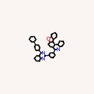 c1ccc(-c2ccc(-c3nc(-c4cccc(-c5nc6ccccc6c6c5ccc5oc7ccccc7c56)c4)nc4ccccc34)cc2)cc1